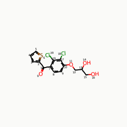 O=C(c1cccs1)c1ccc(OCC(O)CO)c(Cl)c1Cl